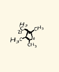 CC1=C(C)C(C)=C(C)[N]1.[Zr]